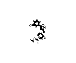 CCOC(=O)N1CCN(Cc2cc(-c3cccc(Cl)c3)on2)[C@H](C)C1